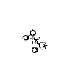 CC1(C)OC[C@H](NC(=O)Nc2ccccc2-c2ccsc2)[C@@H](c2ccccc2)O1